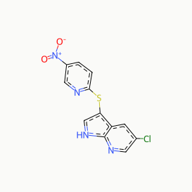 O=[N+]([O-])c1ccc(Sc2c[nH]c3ncc(Cl)cc23)nc1